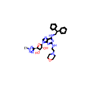 CCn1nnc([C@H]2O[C@@H](n3cnc4c(NCC(c5ccccc5)c5ccccc5)nc(NCCN5CCOCC5)nc43)[C@H](O)[C@@H]2O)n1